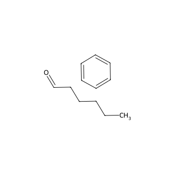 CCCCCC=O.c1ccccc1